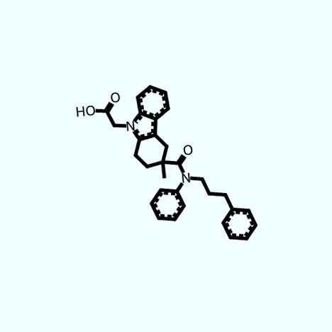 CC1(C(=O)N(CCCc2ccccc2)c2ccccc2)CCc2c(c3ccccc3n2CC(=O)O)C1